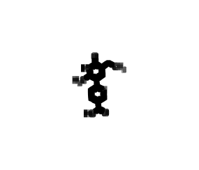 CCc1cc(-c2ccc(C(=O)O)cn2)c(C)[nH]c1=O